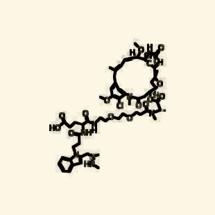 CNN(C)Cc1cc2ccccc2n1CCC(=O)N[C@@H](CCC(=O)O)C(=O)NCCOCCOCCC(=O)N(C)[C@@H](C)C(=O)O[C@H]1CC(=O)N(C)c2cc(cc(OC)c2Cl)C/C(C)=C/C=C/[C@@H](OC)[C@@]2(O)C[C@H](OC(=O)N2)C2(C)C[C@@]1(C)O2